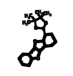 CC1(C)OB(c2cccc3c2oc2c4ccccc4oc32)OC1(C)C